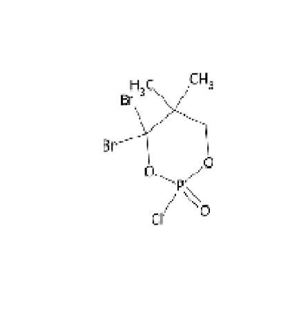 CC1(C)COP(=O)(Cl)OC1(Br)Br